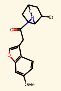 CCC1CC2CCC1N(C(=O)Cc1coc3cc(OC)ccc13)C2